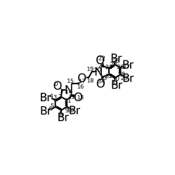 O=C1c2c(Br)c(Br)c(Br)c(Br)c2C(=O)N1CCOCCN1C(=O)c2c(Br)c(Br)c(Br)c(Br)c2C1=O